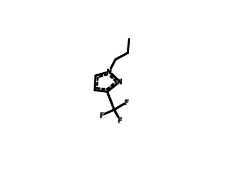 CCCn1ccc(C(F)(F)F)n1